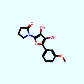 COc1cccc(-c2oc(N3CCCC3=O)c(O)c2O)c1